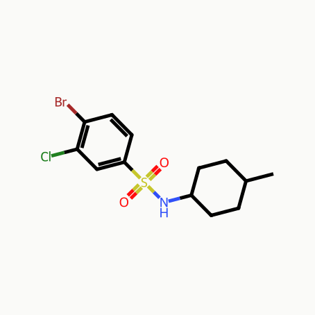 CC1CCC(NS(=O)(=O)c2ccc(Br)c(Cl)c2)CC1